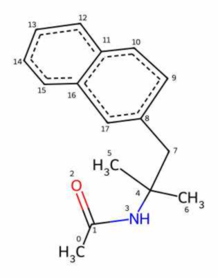 CC(=O)NC(C)(C)Cc1ccc2ccccc2c1